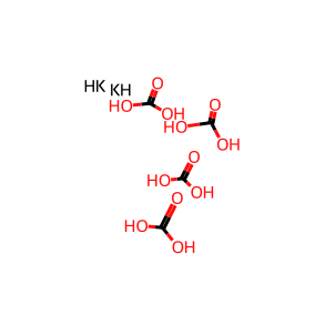 O=C(O)O.O=C(O)O.O=C(O)O.O=C(O)O.[KH].[KH]